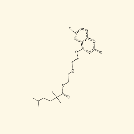 CC(C)CCC(C)(C)C(=O)SCCOCCOc1cc(=S)oc2ccc(F)cc12